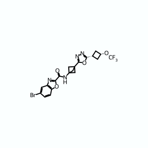 O=C(NC12CC(c3nnc([C@H]4C[C@@H](OC(F)(F)F)C4)o3)(C1)C2)c1nc2cc(Br)ccc2o1